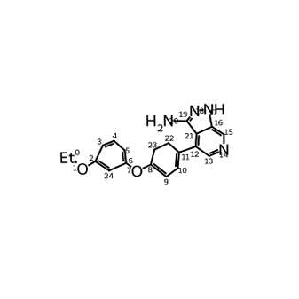 CCOc1cccc(OC2=CC=C(c3cncc4[nH]nc(N)c34)CC2)c1